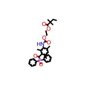 CCC(C)(C)C(=O)OCCOC(=O)Nc1c(C)cc(C)c(C(=O)P(=O)(c2ccccc2)c2ccccc2)c1C